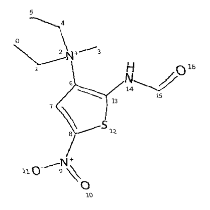 CC[N+](C)(CC)c1cc([N+](=O)[O-])sc1NC=O